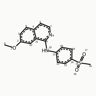 COc1ccc2ccnc(Nc3ccc(S(C)(=O)=O)cc3)c2c1